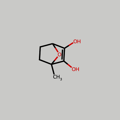 CC12CCC(O1)C(O)=C2O